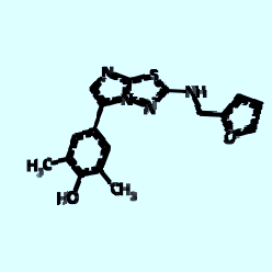 Cc1cc(-c2cnc3sc(NCc4ccco4)nn23)cc(C)c1O